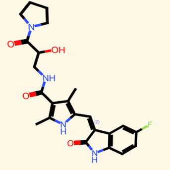 Cc1[nH]c(/C=C2\C(=O)Nc3ccc(F)cc32)c(C)c1C(=O)NCC(O)C(=O)N1CCCC1